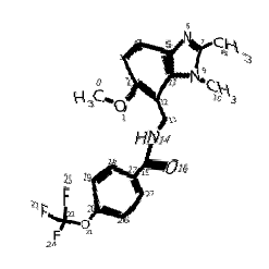 COc1ccc2nc(C)n(C)c2c1CNC(=O)c1ccc(OC(F)(F)F)cc1